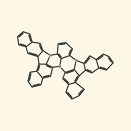 c1cc2c3c(c1)-n1c4cc5ccccc5cc4c4c5ccccc5cc(c41)B3c1cc3ccccc3c3c4cc5ccccc5cc4n-2c13